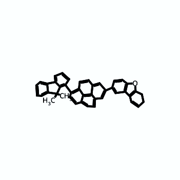 CC1(C)c2ccccc2-c2cccc(-c3ccc4ccc5cc(-c6ccc7oc8c(c7c6)C=CCC8)cc6ccc3c4c56)c21